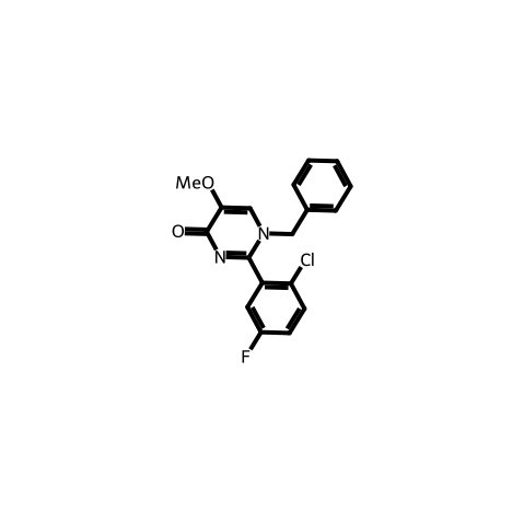 COc1cn(Cc2ccccc2)c(-c2cc(F)ccc2Cl)nc1=O